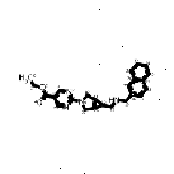 CCOC(=O)c1cnc(N2CC3C(CNCc4ccc5ccccc5c4)C3C2)nc1